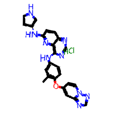 Cc1cc(Nc2ncnc3ccc(N[C@@H]4CCNC4)nc23)ccc1Oc1ccn2ncnc2c1.Cl